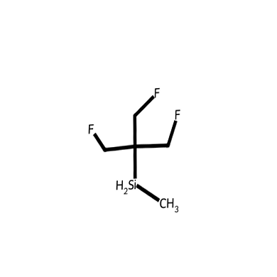 C[SiH2]C(CF)(CF)CF